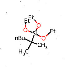 CCCCC(C)(C)[Si](OCC)(OCC)OCC